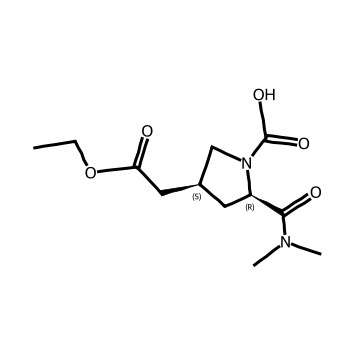 CCOC(=O)C[C@@H]1C[C@H](C(=O)N(C)C)N(C(=O)O)C1